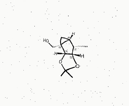 C[C@@H]1[C@@H]2OC(C)(C)O[C@@H]2[C@@]2(CO)C[C@H]12